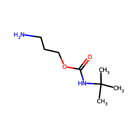 CC(C)(C)NC(=O)OCCCN